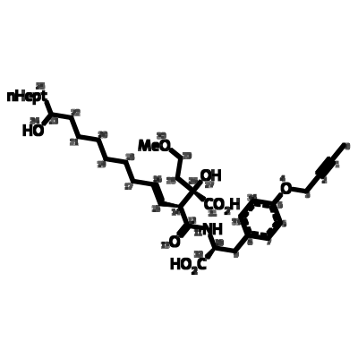 CC#CCOc1ccc(C[C@H](NC(=O)[C@@H](C=CCCCCCCC(O)CCCCCCC)[C@@](O)(CCOC)C(=O)O)C(=O)O)cc1